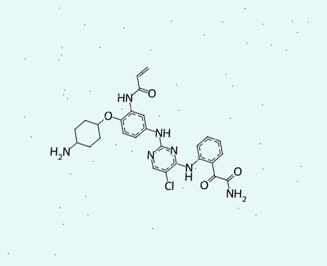 C=CC(=O)Nc1cc(Nc2ncc(Cl)c(Nc3ccccc3C(=O)C(N)=O)n2)ccc1OC1CCC(N)CC1